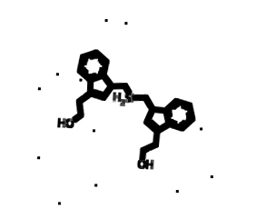 OCCC1=CC(C[SiH2]CC2C=C(CCO)c3ccccc32)c2ccccc21